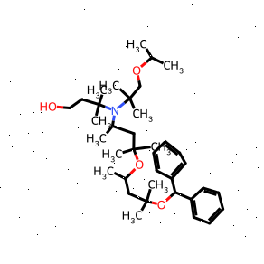 CC(C)OCC(C)(C)N(C(C)CC(C)(C)OC(C)CC(C)(C)OC(c1ccccc1)c1ccccc1)C(C)(C)CCO